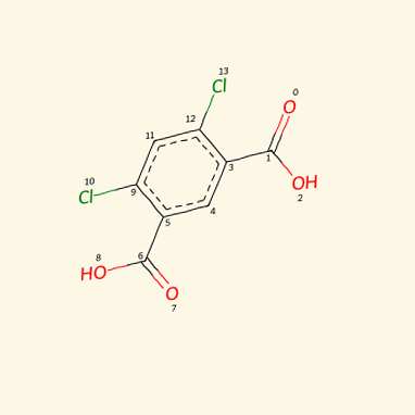 O=C(O)c1cc(C(=O)O)c(Cl)cc1Cl